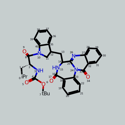 CC(C)C[C@@H](NC(=O)OC(C)(C)C)C(=O)N1CC(CC2NC(=O)c3ccccc3-n3c2nc2ccccc2c3=O)c2ccccc21